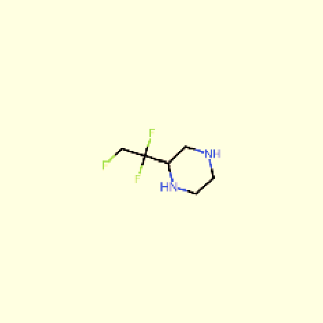 FCC(F)(F)C1CNCCN1